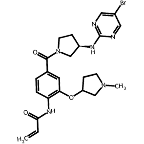 C=CC(=O)Nc1ccc(C(=O)N2CC[C@@H](Nc3ncc(Br)cn3)C2)cc1OC1CCN(C)C1